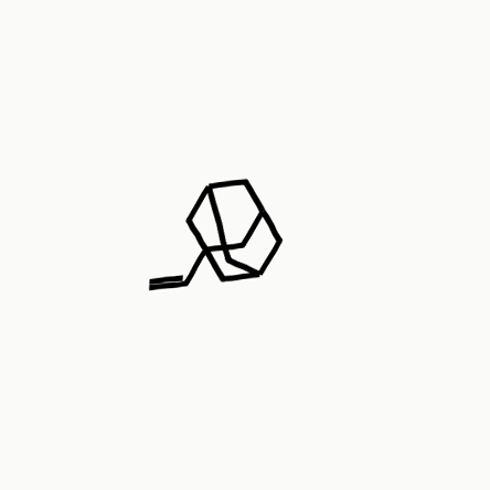 C=CC12CC3CC(CC(C3)C1)C2